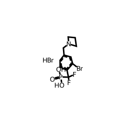 Br.O=P(O)(O)C(F)(F)c1ccc(CN2CCC2)cc1Br